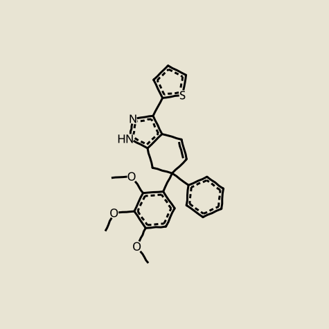 COc1ccc(C2(c3ccccc3)C=Cc3c(-c4cccs4)n[nH]c3C2)c(OC)c1OC